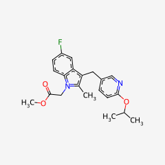 COC(=O)Cn1c(C)c(Cc2ccc(OC(C)C)nc2)c2cc(F)ccc21